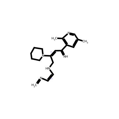 C=N/C=C\NC/C(=C\C(=N)c1cc(C)cnc1C)N1CCCCC1